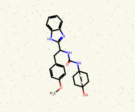 COc1ccc(CC(NC(=O)NC23CCC(O)(CC2)CC3)c2nc3ccccc3[nH]2)cc1